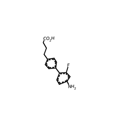 Nc1ccc(-c2ccc(CCCC(=O)O)cc2)c(F)c1